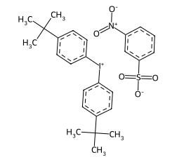 CC(C)(C)c1ccc([I+]c2ccc(C(C)(C)C)cc2)cc1.O=[N+]([O-])c1cccc(S(=O)(=O)[O-])c1